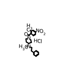 Cc1cc([N+](=O)[O-])ccc1C(=O)N1CCC(N(C)CCc2ccccc2)CC1.Cl